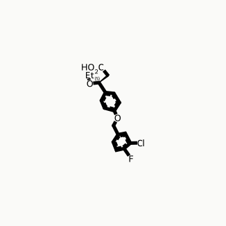 CCO[C@@H](CC(=O)O)c1ccc(OCc2ccc(F)c(Cl)c2)cc1